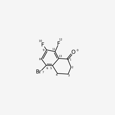 O=C1CCCc2c(Br)cc(F)c(F)c21